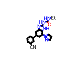 CCNC(=O)Nc1nc2cc(-c3cccc(C#N)c3)cc(-n3cccn3)c2[nH]1